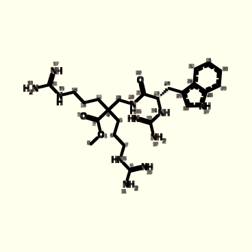 COC(=O)C(CCCNC(=N)N)(CCCNC(=N)N)CNC(=O)[C@H](Cc1c[nH]c2ccccc12)NC(=N)N